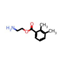 Cc1cccc(C(=O)OCCN)c1C